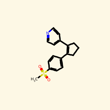 CS(=O)(=O)c1ccc(C2=C(c3ccncc3)CCC2)cc1